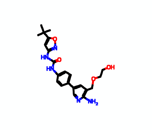 CC(C)(C)c1cc(NC(=O)Nc2ccc(-c3cnc(N)c(COCCO)c3)cc2)no1